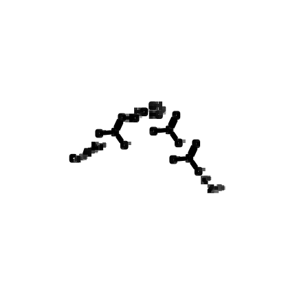 O.O=[Si]([O-])[O-].O=[Si]([O-])[O-].O=[Si]([O-])[O-].[Al+3].[Ca+2].[K+].[Na+].[OH-].[OH-].[OH-].[Zn+2]